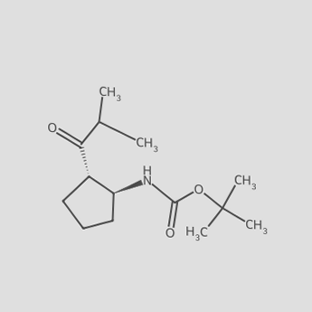 CC(C)C(=O)[C@H]1CCC[C@@H]1NC(=O)OC(C)(C)C